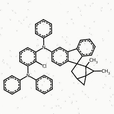 CC1C23CC2CC2(c4ccccc4-c4cc(N(c5ccccc5)c5cccc(N(c6ccccc6)c6ccccc6)c5Cl)ccc42)C13C